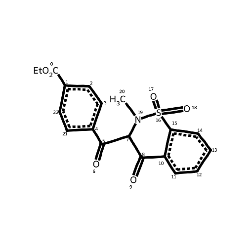 CCOC(=O)c1ccc(C(=O)C2C(=O)c3ccccc3S(=O)(=O)N2C)cc1